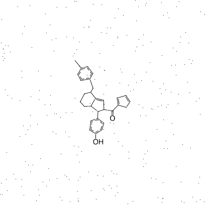 Cc1ccc(CC2CCCC3C2=CC(C(=O)C2=CC=CC2)C3c2ccc(O)cc2)cc1